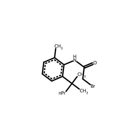 CCCC(C)(C)c1cccc(C)c1NC(=O)CBr